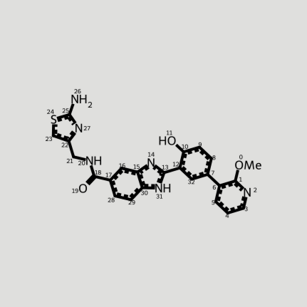 COc1ncccc1-c1ccc(O)c(-c2nc3cc(C(=O)NCc4csc(N)n4)ccc3[nH]2)c1